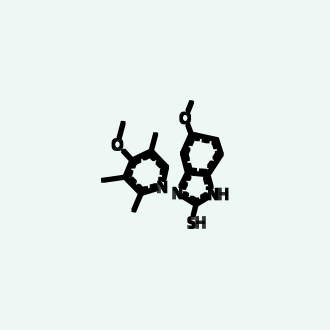 COc1c(C)cnc(C)c1C.COc1ccc2[nH]c(S)nc2c1